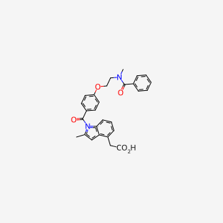 Cc1cc2c(CC(=O)O)cccc2n1C(=O)c1ccc(OCCN(C)C(=O)c2ccccc2)cc1